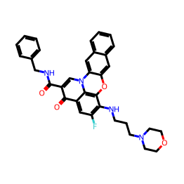 O=C(NCc1ccccc1)c1cn2c3c(c(NCCCN4CCOCC4)c(F)cc3c1=O)Oc1cc3ccccc3cc1-2